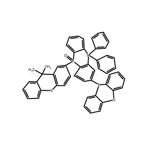 CC1(C)c2ccccc2Sc2ccc(P3(=O)c4ccccc4[Si](c4ccccc4)(c4ccccc4)c4cc(N5c6ccccc6Oc6ccccc65)ccc43)cc21